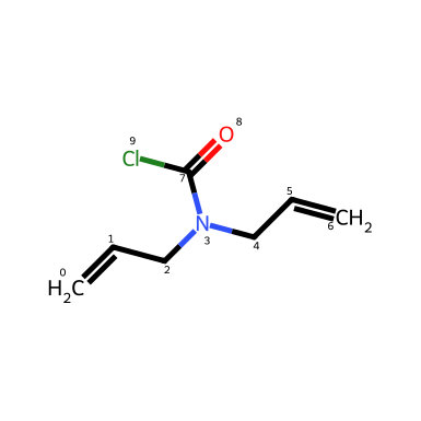 C=CCN(CC=C)C(=O)Cl